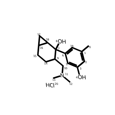 Cc1cc(O)cc(C2(O)C(CN(C)C)CCC3CC32)c1.Cl